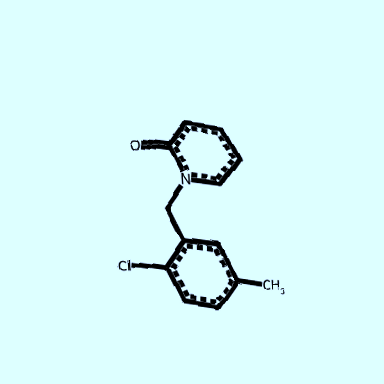 Cc1ccc(Cl)c(Cn2ccccc2=O)c1